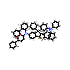 c1ccc(-c2ccc(N(c3ccc4c(c3)C3(c5ccccc5-c5ccc(N(c6ccccc6)c6ccccc6)cc53)c3c-4sc4ccccc34)c3ccccc3-c3ccccc3)cc2)cc1